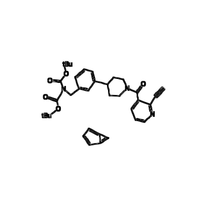 C#Cc1ncccc1C(=O)N1CCC(c2cccc(CN(C(=O)OC(C)(C)C)C(=O)OC(C)(C)C)c2)CC1.c1cc2cc-2c1